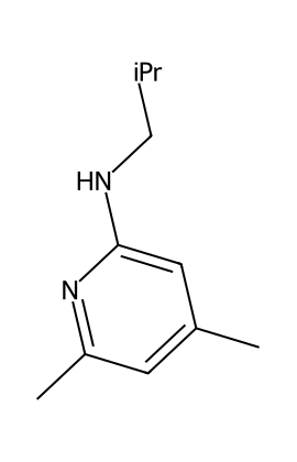 Cc1cc(C)nc(NCC(C)C)c1